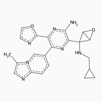 Cc1cnc2ccc(-c3nc(C4(NCC5CC5)C5OC54)c(N)nc3-c3ncco3)cn12